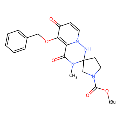 CN1C(=O)c2c(OCc3ccccc3)c(=O)ccn2NC12CCN(C(=O)OC(C)(C)C)C2